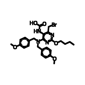 CCCCOc1nc(CBr)c(NC(=O)O)c(N(Cc2ccc(OC)cc2)Cc2ccc(OC)cc2)n1